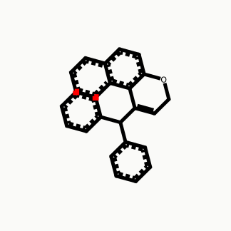 C1=C(C(c2ccccc2)c2ccccc2)c2c(ccc3ccccc23)OC1